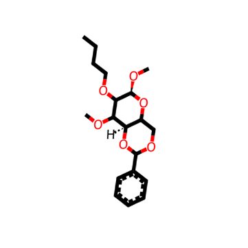 CCCCOC1C(OC)[C@@H]2OC(c3ccccc3)OCC2O[C@@H]1OC